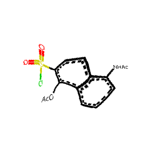 CC(=O)Nc1cccc2c(OC(C)=O)c(S(=O)(=O)Cl)ccc12